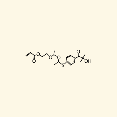 C=CC(=O)OCCOC(C)OC(C)Sc1ccc(C(=O)C(C)(C)O)cc1